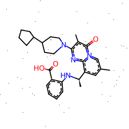 Cc1cc([C@@H](C)Nc2ccccc2C(=O)O)c2nc(N3CCC(C4CCCC4)CC3)c(C)c(=O)n2c1